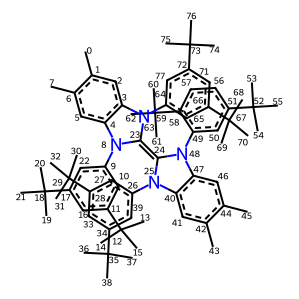 Cc1cc2c(cc1C)N(c1cc(C(C)(C)C)cc(C(C)(C)C)c1)C(=C1N(c3cc(C(C)(C)C)cc(C(C)(C)C)c3)c3cc(C)c(C)cc3N1c1cc(C(C)(C)C)ccc1C(C)(C)C)N2c1cc(C(C)(C)C)cc(C(C)(C)C)c1